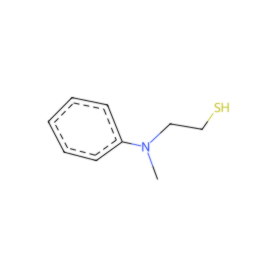 CN(CCS)c1ccccc1